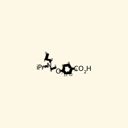 C=CCN(CCOc1ccc(C(=O)O)cc1)C(C)C